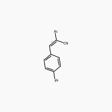 CC(=O)/C(C#N)=C/c1ccc(C(C)C)cc1